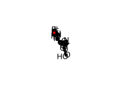 Cn1nc(C(F)(F)C(F)(F)F)c(C(F)(F)F)c1-n1cc(-c2ccc(Cl)c(C(=O)N(COC(=O)OCCCC(=O)O)C3(C#N)CC3)c2)cn1